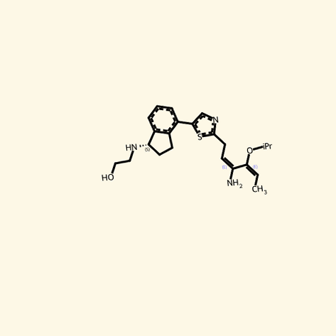 C/C=C(OC(C)C)\C(N)=C/Cc1ncc(-c2cccc3c2CC[C@@H]3NCCO)s1